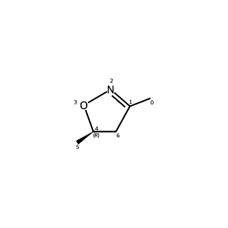 CC1=NO[C@H](C)C1